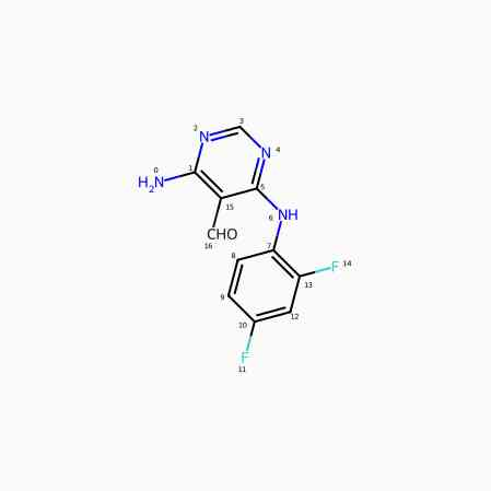 Nc1ncnc(Nc2ccc(F)cc2F)c1C=O